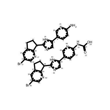 Nc1ccc(-c2cnc(C3CCc4cc(Br)cnc43)[nH]2)cn1.O=C(O)Nc1ccc(-c2cnc(C3CCc4cc(Br)cnc43)[nH]2)cn1